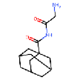 NCC(=O)NC(=O)C12CC3CC(CC(C3)C1)C2